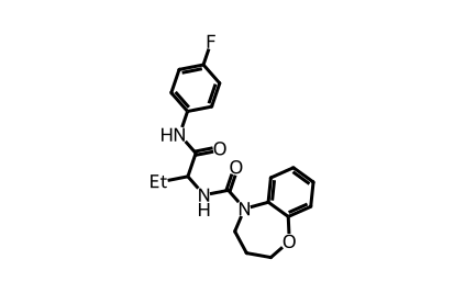 CCC(NC(=O)N1CCCOc2ccccc21)C(=O)Nc1ccc(F)cc1